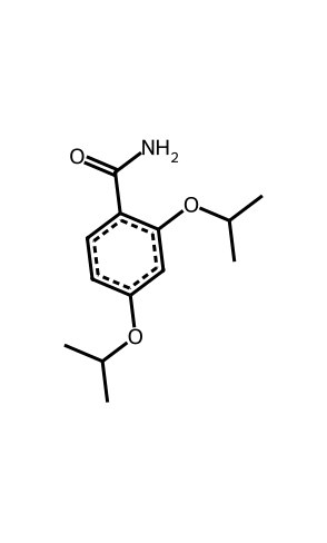 CC(C)Oc1ccc(C(N)=O)c(OC(C)C)c1